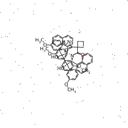 COc1cccc(C(O)(c2cccc(OC)c2)[C@H](c2cccc3ccccc23)N(C(=O)C2(C(N)=O)CCC2)[C@@H](c2cccc3ccccc23)C(O)(c2cccc(OC)c2)c2cccc(OC)c2)c1